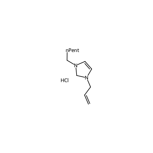 C=CCN1C=CN(CCCCCC)C1.Cl